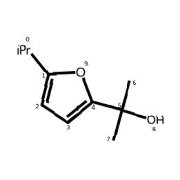 CC(C)c1ccc(C(C)(C)O)o1